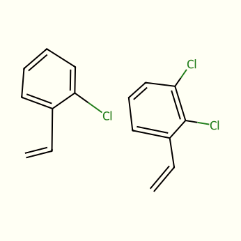 C=Cc1cccc(Cl)c1Cl.C=Cc1ccccc1Cl